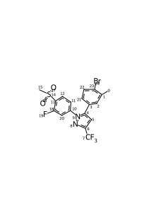 Cc1cc(-c2cc(C(F)(F)F)nn2-c2ccc(S(C)(=O)=O)c(F)c2)ccc1Br